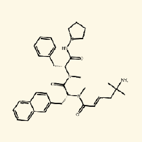 CN(C(=O)/C=C/CC(C)(C)N)[C@H](Cc1ccc2ccccc2c1)C(=O)N(C)[C@H](Cc1ccccc1)C(=O)NN1CCCC1